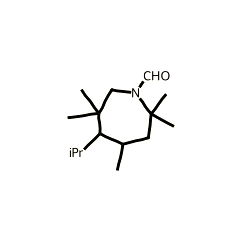 CC(C)C1C(C)CC(C)(C)N(C=O)CC1(C)C